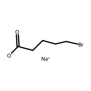 O=C([O-])CCCCBr.[Na+]